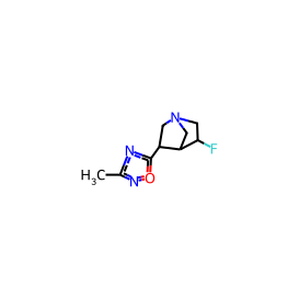 Cc1noc(C2CN3CC(F)C2C3)n1